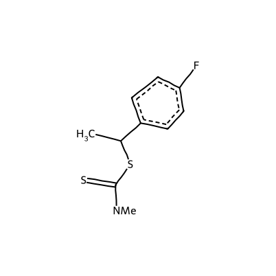 CNC(=S)SC(C)c1ccc(F)cc1